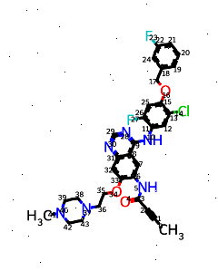 CC#CC(=O)Nc1cc2c(Nc3cc(Cl)c(OCc4cccc(F)c4)cc3F)ncnc2cc1OCCN1CCN(C)CC1